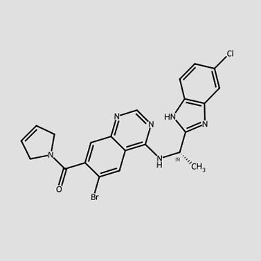 C[C@H](Nc1ncnc2cc(C(=O)N3CC=CC3)c(Br)cc12)c1nc2cc(Cl)ccc2[nH]1